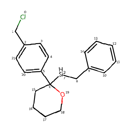 ClCc1ccc(C2([SiH2]Cc3ccccc3)CCCCO2)cc1